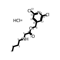 CCCCNCC(=O)OCc1cc(Cl)nc(Cl)c1.Cl